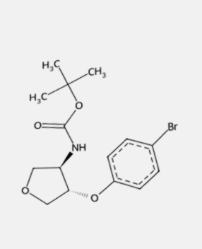 CC(C)(C)OC(=O)N[C@@H]1COC[C@H]1Oc1ccc(Br)cc1